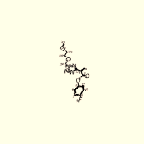 C=C(C(=O)Oc1ccc(F)cc1)c1nnn(COCCOC)n1